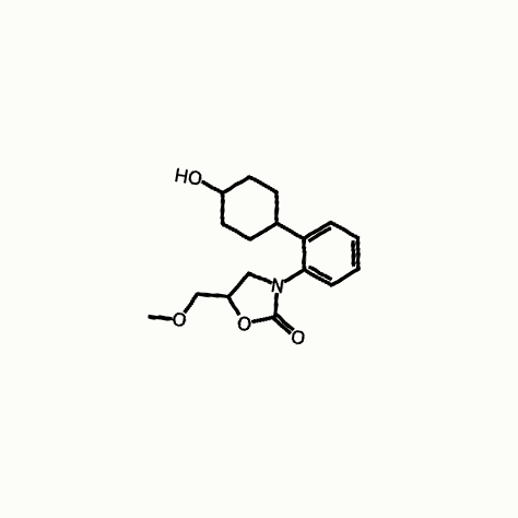 COCC1CN(c2ccccc2C2CCC(O)CC2)C(=O)O1